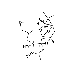 CC1=C[C@H]2[C@@]3(O)[C@H](C)C[C@]4(C)[C@H]([C@@H]3C=C(CO)C[C@]2(O)C1=O)C4(C)C